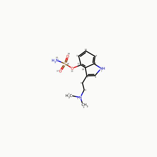 CN(C)CCc1c[nH]c2cccc(OS(N)(=O)=O)c12